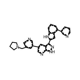 c1cncc(-c2cccc3[nH]c(-c4n[nH]c5ncc(-c6cncc(CN7CCCC7)c6)cc45)cc23)c1